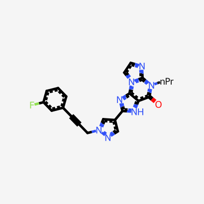 CCCn1c(=O)c2[nH]c(-c3cnn(CC#Cc4cccc(F)c4)c3)nc2n2ccnc12